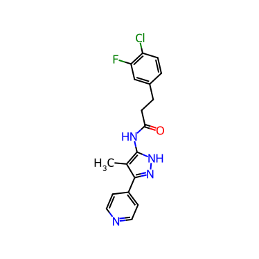 Cc1c(-c2ccncc2)n[nH]c1NC(=O)CCc1ccc(Cl)c(F)c1